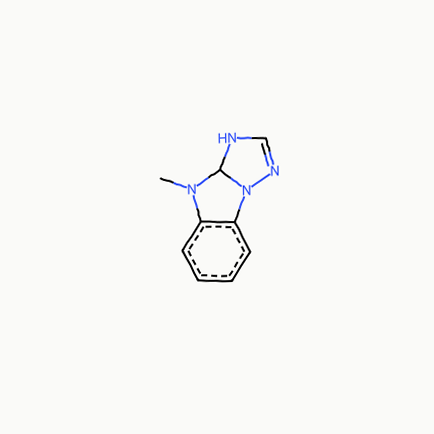 CN1c2ccccc2N2N=CNC12